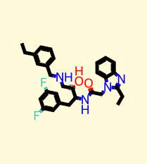 CCc1cccc(CNC[C@@H](O)C(Cc2cc(F)cc(F)c2)NC(=O)Cn2c(CC)nc3ccccc32)c1